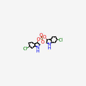 O=S(=O)(Oc1c[nH]c2cc(Cl)ccc12)Oc1c[nH]c2cc(Cl)ccc12